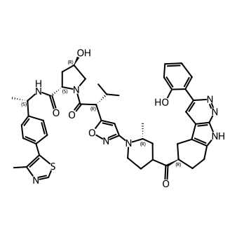 Cc1ncsc1-c1ccc([C@H](C)NC(=O)[C@@H]2C[C@@H](O)CN2C(=O)[C@@H](c2cc(N3CCC(C(=O)[C@@H]4CCc5[nH]c6nnc(-c7ccccc7O)cc6c5C4)C[C@H]3C)no2)C(C)C)cc1